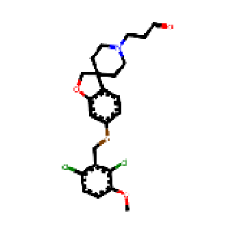 COc1ccc(Cl)c(CSc2ccc3c(c2)OCC32CCN(CCC=O)CC2)c1Cl